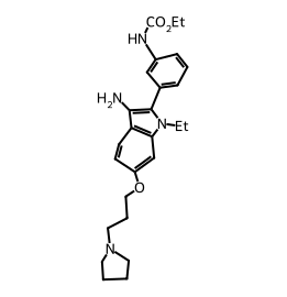 CCOC(=O)Nc1cccc(-c2c(N)c3ccc(OCCCN4CCCC4)cc3n2CC)c1